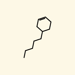 CCCCC[C]1CC=CCC1